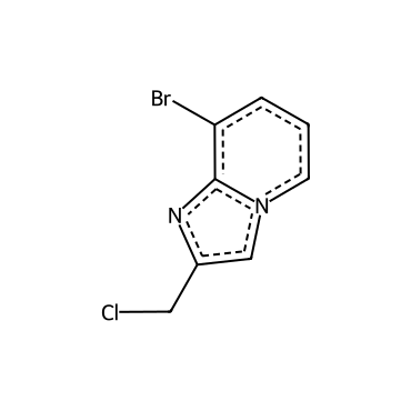 ClCc1cn2cccc(Br)c2n1